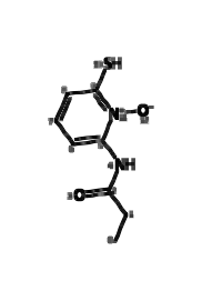 CCC(=O)Nc1cccc(S)[n+]1[O-]